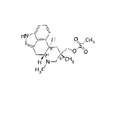 CN1C[C@@](C)(COS(C)(=O)=O)C[C@@H]2c3cccc4[nH]cc(c34)C[C@H]21